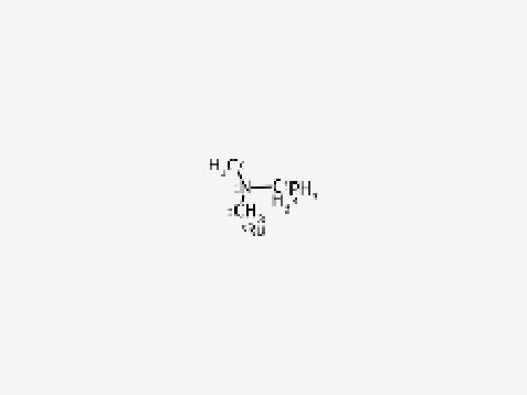 CN(C)C.P.[Ru]